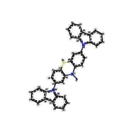 CN1c2ccc(-n3c4ccccc4c4ccccc43)cc2Sc2ccc(-n3c4ccccc4c4ccccc43)cc21